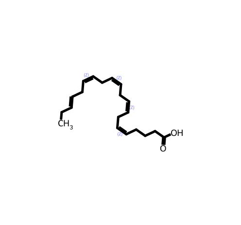 CCC=CC/C=C\C/C=C\C/C=C\C/C=C\CCCC(=O)O